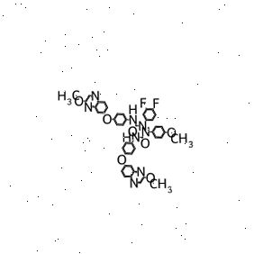 COc1ccc(N(C(=O)Nc2ccc(Oc3ccc4ncc(OC)nc4c3)cc2)N(C(=O)Nc2ccc(Oc3ccc4ncc(OC)nc4c3)cc2)c2ccc(F)c(F)c2)cc1